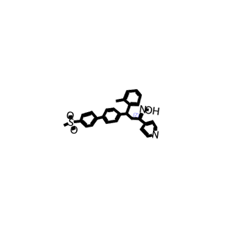 Cc1ccccc1C(C/C(=N/O)c1ccncc1)c1ccc(-c2ccc(S(C)(=O)=O)cc2)cc1